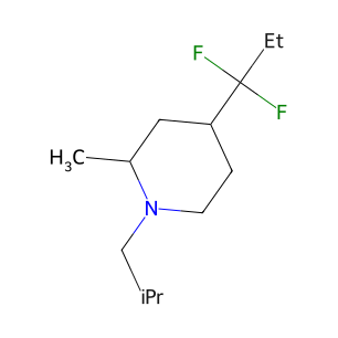 CCC(F)(F)C1CCN(CC(C)C)C(C)C1